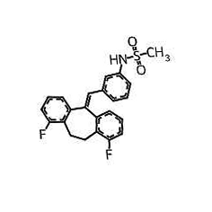 CS(=O)(=O)Nc1cccc(C=C2c3cccc(F)c3CCc3c(F)cccc32)c1